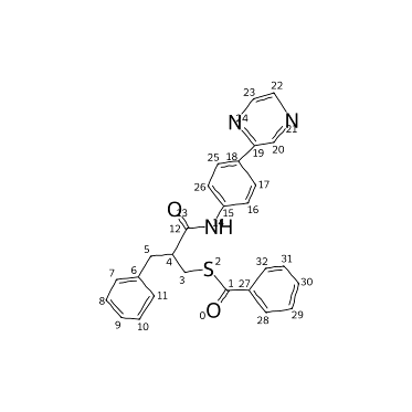 O=C(SCC(Cc1ccccc1)C(=O)Nc1ccc(-c2cnccn2)cc1)c1ccccc1